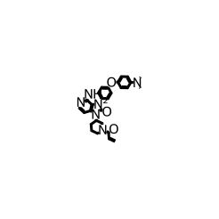 C=CC(=O)N1CCCC(n2c(=O)n(-c3ccc(Oc4ccc(N(C)C)cc4)cc3)c3c(N)nccc32)C1